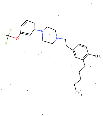 CCCCCc1cc(CCN2CCN(c3cccc(OC(F)(F)F)c3)CC2)ccc1C